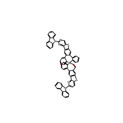 c1ccc2c(c1)-c1cc3sc4cnc(-n5c6ccccc6c6ccccc65)nc4c3cc1-c1ccccc1[Si]21c2ccccc2-c2cc3sc4cnc(-n5c6ccccc6c6ccccc65)nc4c3cc2-c2ccccc21